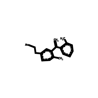 C=C(c1ccccc1C)c1cc(CCC(C)=O)ccc1C